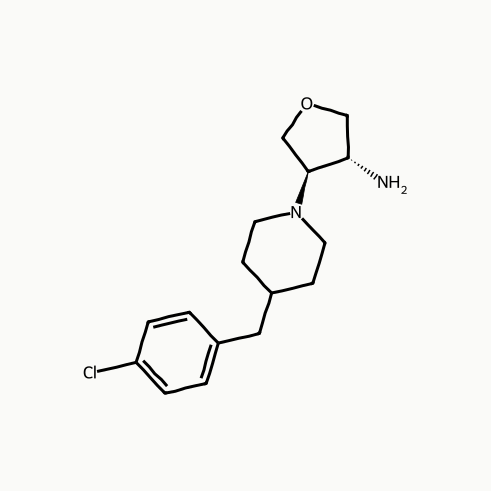 N[C@H]1COC[C@@H]1N1CCC(Cc2ccc(Cl)cc2)CC1